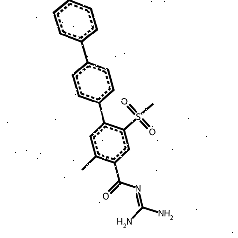 Cc1cc(-c2ccc(-c3ccccc3)cc2)c(S(C)(=O)=O)cc1C(=O)N=C(N)N